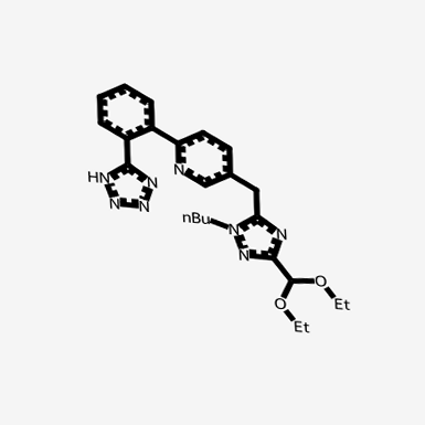 CCCCn1nc(C(OCC)OCC)nc1Cc1ccc(-c2ccccc2-c2nnn[nH]2)nc1